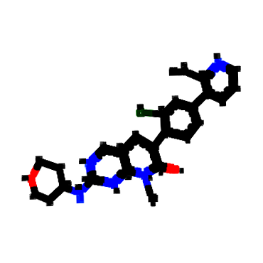 CCn1c(=O)c(-c2ccc(-c3cccnc3OC)cc2Cl)cc2cnc(NC3CCOCC3)nc21